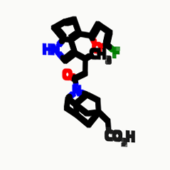 CC(CC(=O)N1C2CC3CC1CC(CC(=O)O)(C3)C2)c1c[nH]c2cccc(-c3ccc(F)o3)c12